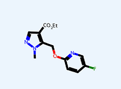 CCOC(=O)c1cnn(C)c1COc1ccc(F)cn1